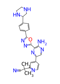 CC(C)(C#N)c1cc(-c2cnc(N)c(-c3nnc(-c4ccc(C5CNCCN5)cc4)o3)n2)ccn1